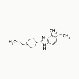 CCCN1CCC(c2nc3c(C)c(CC)ccc3[nH]2)CC1